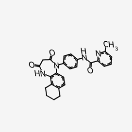 Cc1cccc(C(=O)Nc2ccc(N3C(=O)CC(=O)Nc4c3ccc3c4CCCC3)cc2)n1